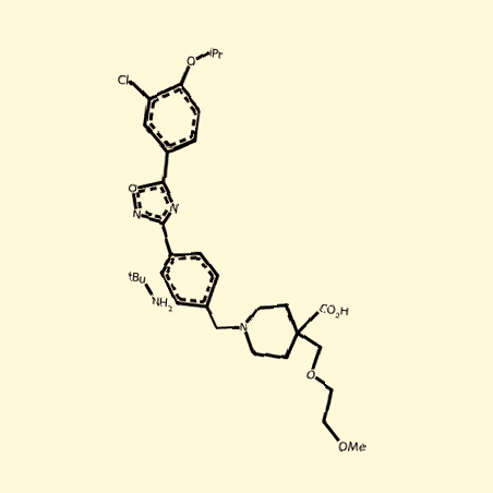 CC(C)(C)N.COCCOCC1(C(=O)O)CCN(Cc2ccc(-c3noc(-c4ccc(OC(C)C)c(Cl)c4)n3)cc2)CC1